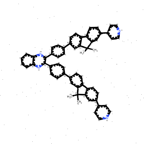 CC1(C)c2cc(-c3ccncc3)ccc2-c2ccc(-c3ccc(-c4nc5ccccc5nc4-c4ccc(-c5ccc6c(c5)C(C)(C)c5cc(-c7ccncc7)ccc5-6)cc4)cc3)cc21